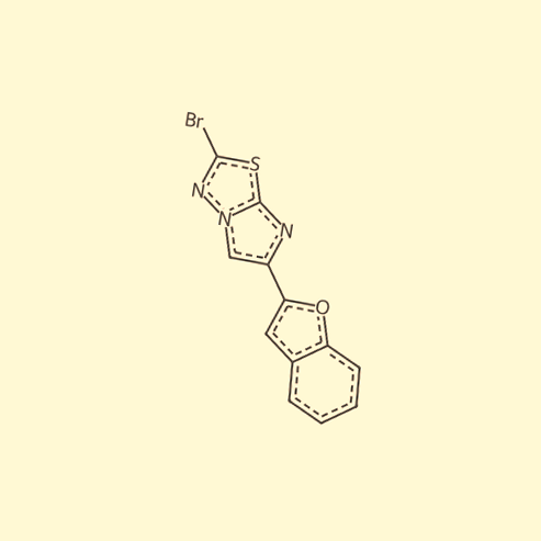 Brc1nn2cc(-c3cc4ccccc4o3)nc2s1